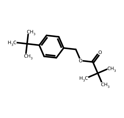 CC(C)(C)C(=O)OCc1ccc(C(C)(C)C)cc1